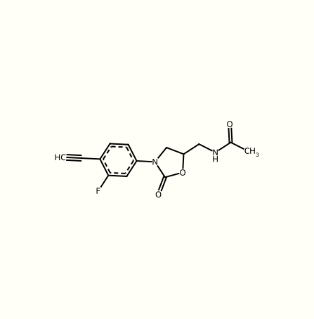 C#Cc1ccc(N2CC(CNC(C)=O)OC2=O)cc1F